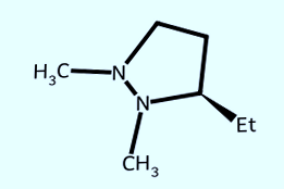 CC[C@@H]1CCN(C)N1C